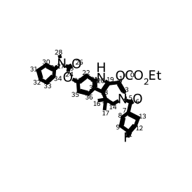 CCOC(=O)OC1=CN(C(=O)c2ccc(F)cc2)CC(C)(C)c2c1[nH]c1cc(OC(=O)N(C)c3ccccc3)ccc21